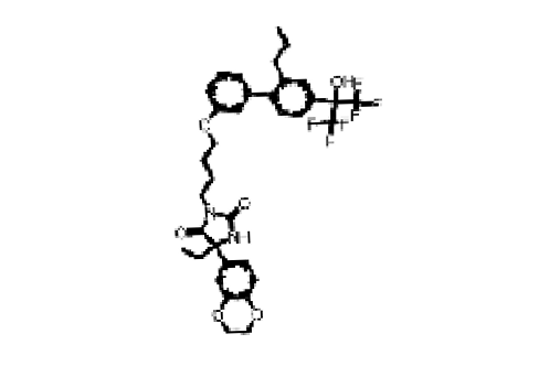 CCCc1cc(C(O)(C(F)(F)F)C(F)(F)F)ccc1-c1cccc(OCCCCN2C(=O)NC(CC)(c3ccc4c(c3)OCCO4)C2=O)c1